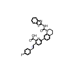 O=C(O)c1nc(-c2ccc3c(c2)N(C(=O)Nc2nc4ccccc4s2)CCC3)ccc1/C=C/c1ccc(F)cc1